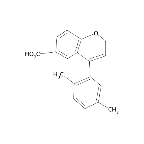 Cc1ccc(C)c(C2=CCOc3ccc(C(=O)O)cc32)c1